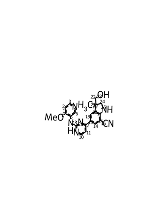 COc1ccncc1Nc1nccc(-c2cc(C#N)c3c(c2)[C@@](C)(CO)CN3)n1